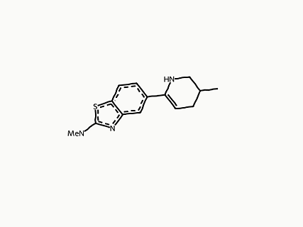 CNc1nc2cc(C3=CCC(C)CN3)ccc2s1